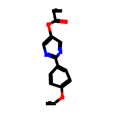 CCCCCCCCCCOc1ccc(-c2ncc(OC(=O)CCCCCCCCCC)cn2)cc1